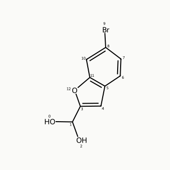 OC(O)c1cc2ccc(Br)cc2o1